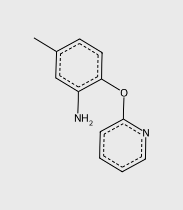 Cc1ccc(Oc2ccccn2)c(N)c1